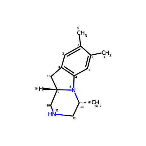 Cc1cc2c(cc1C)N1[C@H](CNC[C@H]1C)C2